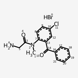 Br.CN(C(=O)CN)c1ccc(Cl)cc1C(=O)c1ccccc1